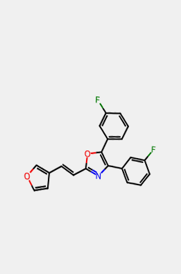 Fc1cccc(-c2nc(/C=C/c3ccoc3)oc2-c2cccc(F)c2)c1